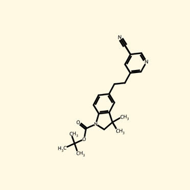 CC(C)(C)OC(=O)N1CC(C)(C)c2cc(CCc3cncc(C#N)c3)ccc21